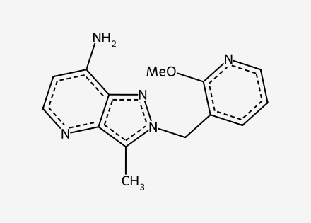 COc1ncccc1Cn1nc2c(N)ccnc2c1C